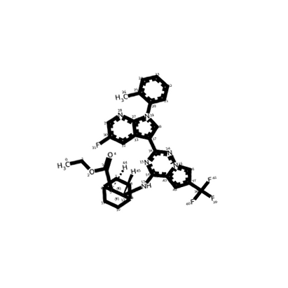 CCOC(=O)[C@@H]1C2CCC(CC2)[C@H]1Nc1nc(-c2cn(-c3ccccc3C)c3ncc(F)cc23)nn2cc(C(F)(F)F)cc12